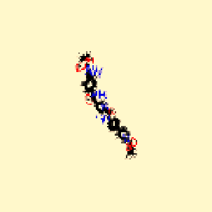 CC(C)(C)OC(=O)NCc1ccc(NC(=O)c2ccc(C(=O)Nc3ccc(C4=CCN(C(=O)OC(C)(C)C)CC4)cc3)nc2)cc1